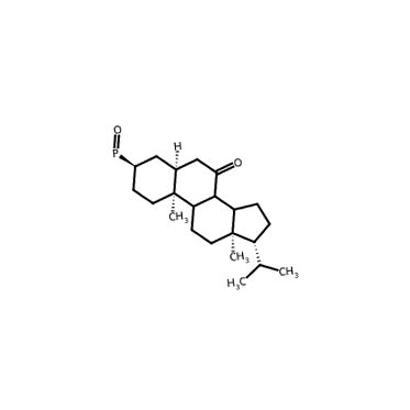 CC(C)[C@H]1CCC2C3C(=O)C[C@@H]4C[C@H](P=O)CC[C@]4(C)C3CC[C@@]21C